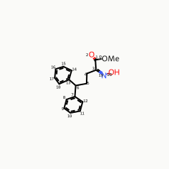 COC(=O)C(CCC(c1ccccc1)c1ccccc1)=NO